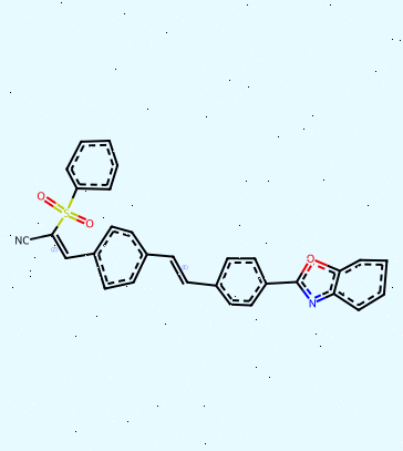 N#C/C(=C/c1ccc(/C=C/c2ccc(-c3nc4ccccc4o3)cc2)cc1)S(=O)(=O)c1ccccc1